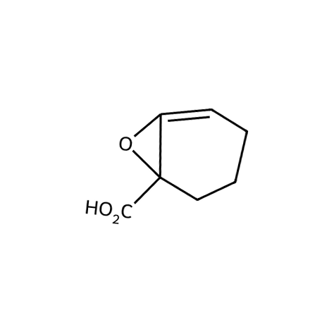 O=C(O)C12CCCC=C1O2